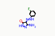 NC1=NNC(=O)/C1=N/Nc1cccc(F)c1